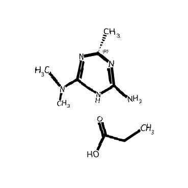 CCC(=O)O.C[C@@H]1N=C(N)NC(N(C)C)=N1